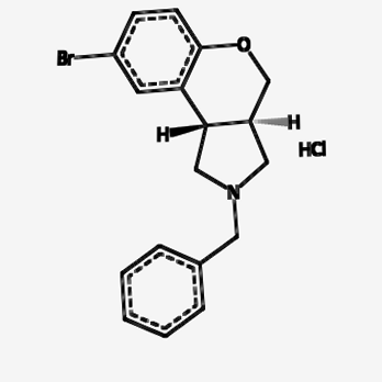 Brc1ccc2c(c1)[C@H]1CN(Cc3ccccc3)C[C@@H]1CO2.Cl